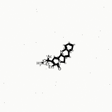 CCc1c([C@](CC)(ON)C(C)=O)cc2n(c1=O)Cc1cc3ccccc3nc1-2